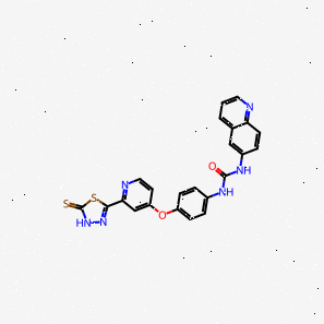 O=C(Nc1ccc(Oc2ccnc(-c3n[nH]c(=S)s3)c2)cc1)Nc1ccc2ncccc2c1